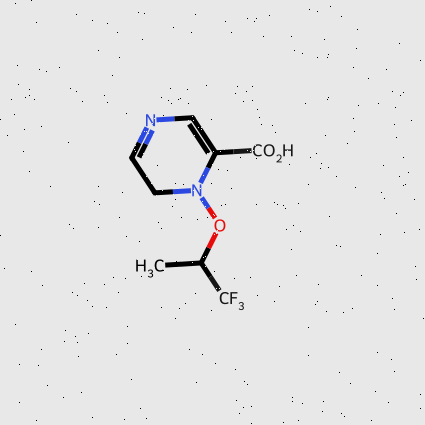 CC(ON1CC=NC=C1C(=O)O)C(F)(F)F